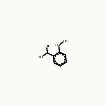 OBc1ccccc1C(O)O